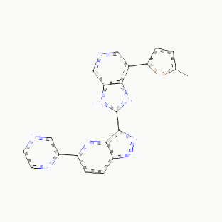 CC(=O)c1ccc(-c2cncc3[nH]c(-c4n[nH]c5ccc(-c6cnccn6)nc45)nc23)s1